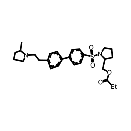 CCC(=O)OCC1CCCN1S(=O)(=O)c1ccc(-c2ccc(CCN3CCCC3C)cc2)cc1